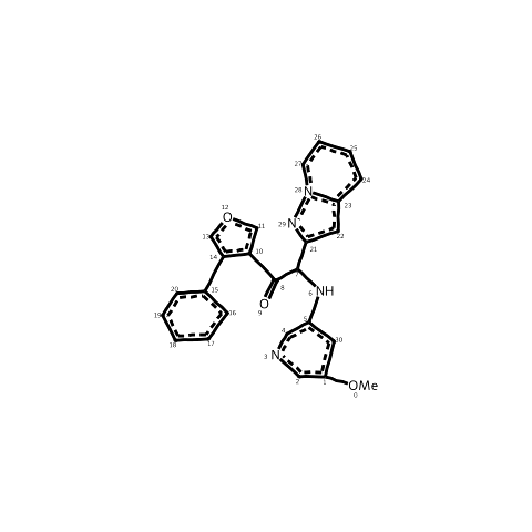 COc1cncc(NC(C(=O)c2cocc2-c2ccccc2)c2cc3ccccn3n2)c1